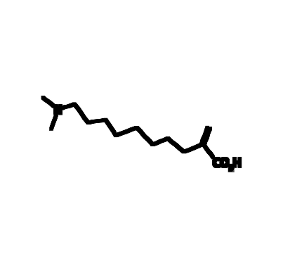 C=C(CCCCCCCCN(C)C)C(=O)O